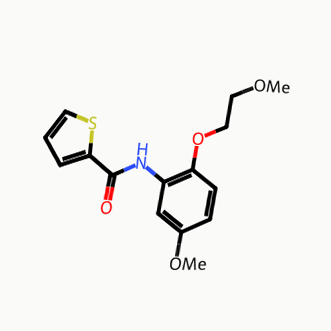 COCCOc1ccc(OC)cc1NC(=O)c1cccs1